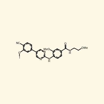 COCCNC(=O)c1ccc(Nc2ncc(-c3ccc(C#N)c(OI)c3)cn2)c(OC)c1